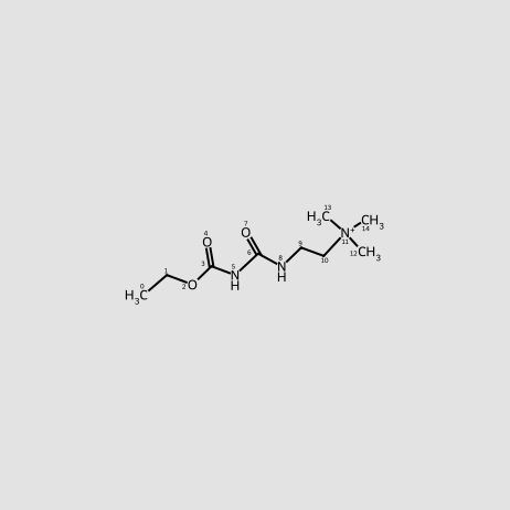 CCOC(=O)NC(=O)NCC[N+](C)(C)C